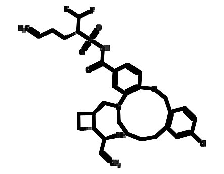 C=CCC[C@H](C(F)F)S(=O)(=O)NC(=O)c1ccc2c(c1)N(C[C@@H]1CC[C@H]1[C@@H](O)C=C)CCCCc1cc(Cl)ccc1CO2